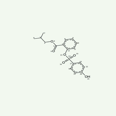 CC(C)COC(=O)c1ccccc1OS(=O)(=O)c1ccc(O)cc1